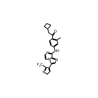 Cc1cc(Nc2nccn3c(C4=CCN=C4C(F)(F)F)cnc23)ccc1C(=O)CC1CCC1